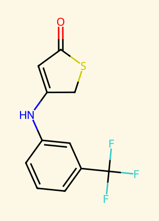 O=C1C=C(Nc2cccc(C(F)(F)F)c2)CS1